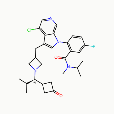 CC(C)[C@H](C1CC(=O)C1)N1CC(Cc2cn(-c3ccc(F)cc3C(=O)N(C)C(C)C)c3cncc(Cl)c23)C1